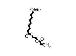 C=CC(=O)OCCOC(=O)CCCCCCCCOC